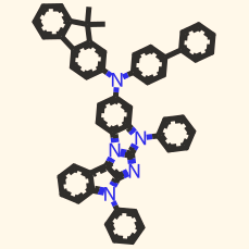 CC1(C)c2ccccc2-c2ccc(N(c3ccc(-c4ccccc4)cc3)c3ccc4c(c3)n(-c3ccccc3)c3nc5c(c6ccccc6n5-c5ccccc5)n43)cc21